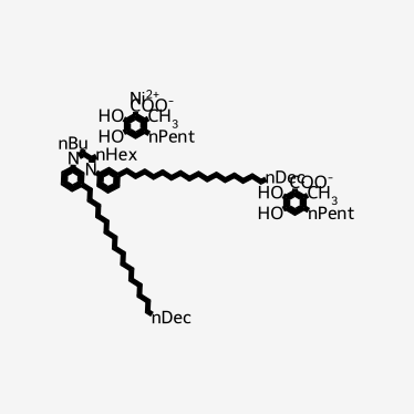 CCCCCCCCCCCCCCCCCCCCCCCCCCc1cccc(N=C(CCCC)C(CCCCCC)=Nc2cccc(CCCCCCCCCCCCCCCCCCCCCCCCCC)c2)c1.CCCCCc1cc(O)c(O)c(C(=O)[O-])c1C.CCCCCc1cc(O)c(O)c(C(=O)[O-])c1C.[Ni+2]